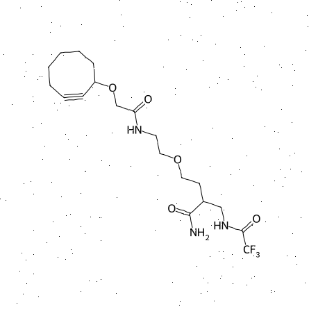 NC(=O)C(CCOCCNC(=O)COC1C#CCCCCC1)CNC(=O)C(F)(F)F